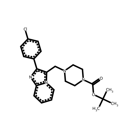 CC(C)(C)OC(=O)N1CCN(Cc2c(-c3ccc(Cl)cc3)nc3ccccn23)CC1